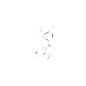 COC(=O)c1scnc1NC(=O)c1ccc(O)c(C(F)(F)F)n1